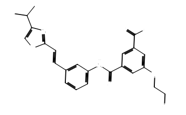 CC(C)c1csc(C=Cc2cccc(NC(=O)c3cc(OCCO)cc(C(=O)O)c3)c2)n1